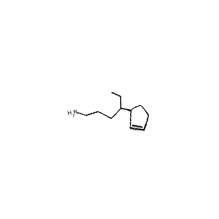 CCC(CCCN)C1C=CCC1